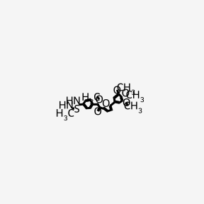 COc1cc(-c2ccc(C(=O)C(OC)c3ccc(C(=N)SC(C)=N)cc3)o2)cc(OC)c1OC